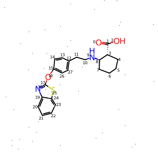 O=C(O)[C@@H]1CCCC[C@H]1NCCc1ccc(Oc2nc3ccccc3s2)cc1